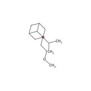 COCCOC1C2CC1CN(C(C)C)C2